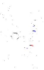 COC(C)(C)c1nc(C2CC(c3ccc(C(F)(F)F)cc3)CN(C(=O)N3CCOCC3)C2)no1